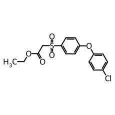 CCOC(=O)CS(=O)(=O)c1ccc(Oc2ccc(Cl)cc2)cc1